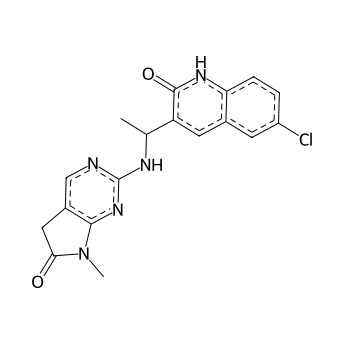 CC(Nc1ncc2c(n1)N(C)C(=O)C2)c1cc2cc(Cl)ccc2[nH]c1=O